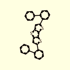 c1ccc(-c2ccccc2-c2cc3sc4cc(-c5ccccc5-c5ccccc5)sc4c3s2)cc1